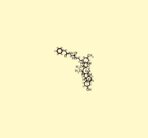 C[C@H]1C[C@H]2O[C@]3(CC[C@H]4[C@@H]5CC=C6C[C@@H](O)CC[C@]6(C)[C@H]5CC45CC5(C)C3)[C@H](C)[C@@H]2N(CCNC(=O)CNC(=O)Cc2ccccc2)C1